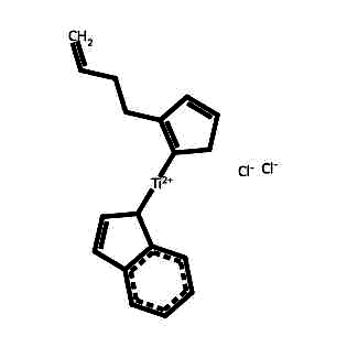 C=CCCC1=[C]([Ti+2][CH]2C=Cc3ccccc32)CC=C1.[Cl-].[Cl-]